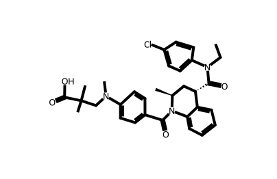 CCN(C(=O)[C@H]1C[C@H](C)N(C(=O)c2ccc(N(C)CC(C)(C)C(=O)O)cc2)c2ccccc21)c1ccc(Cl)cc1